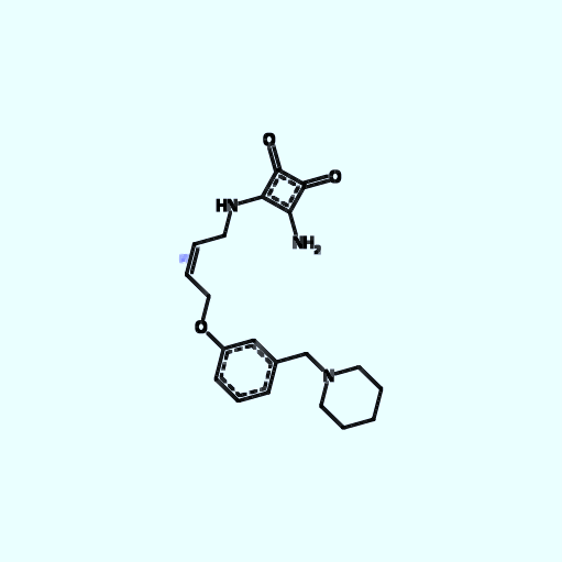 Nc1c(NC/C=C\COc2cccc(CN3CCCCC3)c2)c(=O)c1=O